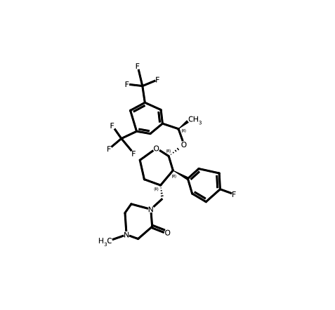 C[C@@H](O[C@H]1OCC[C@@H](CN2CCN(C)CC2=O)[C@@H]1c1ccc(F)cc1)c1cc(C(F)(F)F)cc(C(F)(F)F)c1